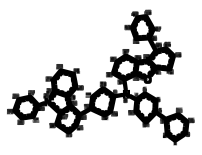 c1ccc(-c2ccc(N(c3ccc(-c4cccc5c4c4ccccc4n5-c4ccccc4)cc3)c3cccc4c3oc3cccc(-c5ccccc5)c34)cc2)cc1